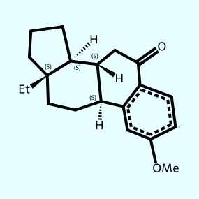 CC[C@@]12CCC[C@H]1[C@@H]1CC(=O)c3c[c]c(OC)cc3[C@H]1CC2